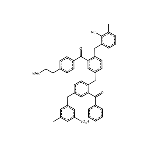 CCCCCCCCCCCCc1ccc(C(=O)c2cc(Cc3ccc(Cc4cc(C)cc(S(=O)(=O)O)c4)cc3C(=O)c3ccccc3)ccc2Cc2cccc(C)c2C#N)cc1